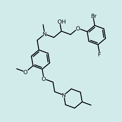 COc1cc(CN(C)CC(O)COc2cc(F)ccc2Br)ccc1OCCN1CCC(C)CC1